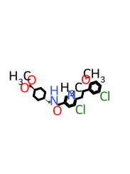 COc1ccc(Cl)cc1C(C)Cc1ncc(C(=O)NC[C@H]2CC[C@H](C(=O)OC)CC2)cc1Cl